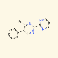 CC(C)c1nc(-c2ncccn2)ncc1-c1ccccc1